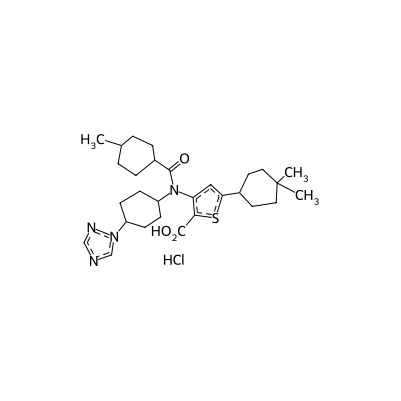 CC1CCC(C(=O)N(c2cc(C3CCC(C)(C)CC3)sc2C(=O)O)C2CCC(n3cncn3)CC2)CC1.Cl